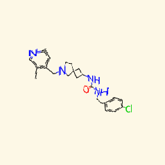 Cc1cnccc1CN1CCC2(CC(NC(=O)NCc3ccc(Cl)cc3)C2)C1